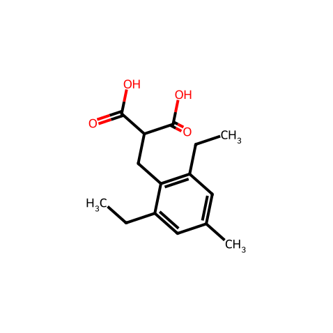 CCc1cc(C)cc(CC)c1CC(C(=O)O)C(=O)O